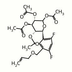 C=CCOCc1cc([C@@H]2OC(OC(C)=O)[C@@H](OC(C)=O)[C@H](OC(C)=O)[C@H]2OC(C)=O)c(F)cc1F